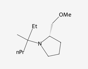 CCCC(C)(CC)N1CCC[C@H]1COC